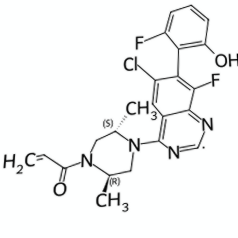 C=CC(=O)N1C[C@H](C)N(c2n[c]nc3c(F)c(-c4c(O)cccc4F)c(Cl)cc23)C[C@H]1C